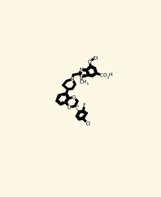 CCOc1cc(C(=O)O)cc2c1nc(CN1CCC(c3cccc4c3OC[C@H](c3ccc(Cl)cc3F)O4)CC1)n2C